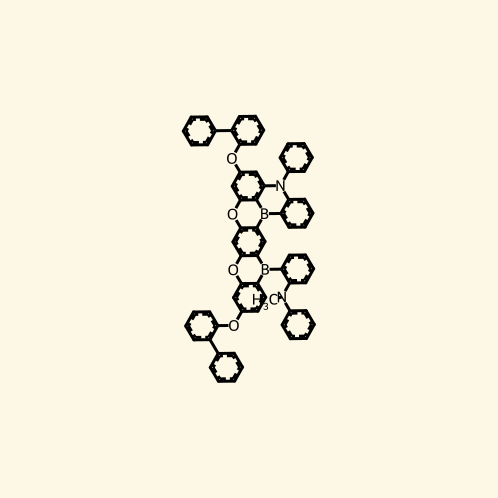 CN(c1ccccc1)c1ccccc1B1c2ccc(Oc3ccccc3-c3ccccc3)cc2Oc2cc3c(cc21)B1c2ccccc2N(c2ccccc2)c2cc(Oc4ccccc4-c4ccccc4)cc(c21)O3